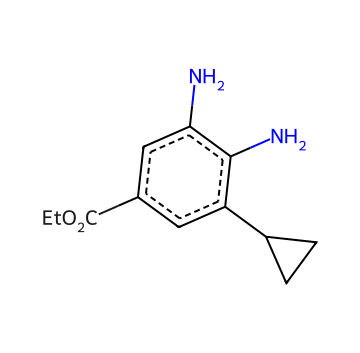 CCOC(=O)c1cc(N)c(N)c(C2CC2)c1